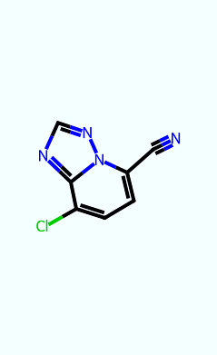 N#Cc1ccc(Cl)c2ncnn12